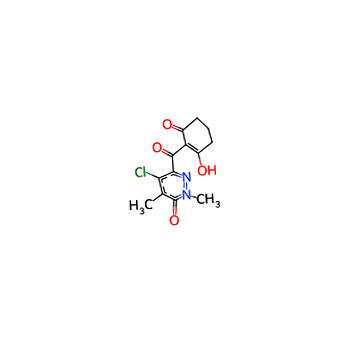 Cc1c(Cl)c(C(=O)C2=C(O)CCCC2=O)nn(C)c1=O